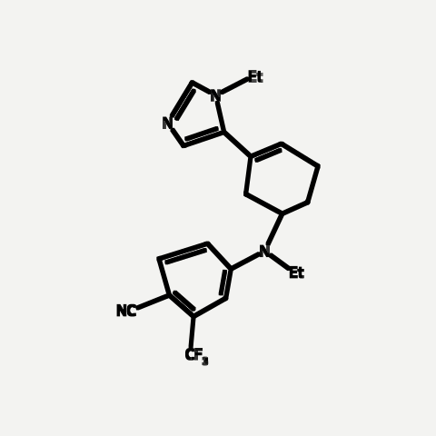 CCN(c1ccc(C#N)c(C(F)(F)F)c1)C1CCC=C(c2cncn2CC)C1